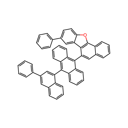 c1ccc(-c2cc(-c3c4ccccc4c(-c4cc5ccccc5c5oc6ccc(-c7ccccc7)cc6c45)c4ccccc34)c3ccccc3c2)cc1